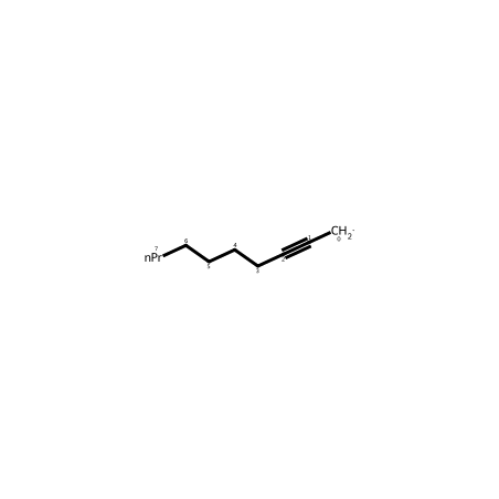 [CH2]C#CCCCCCC[CH2]